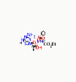 C#C[C@@]1(F)[C@H](O)[C@@H](CO[P@](=O)(N[C@H](C)C(=O)OCC)Oc2ccccc2)O[C@H]1n1cnc2c(N(C)C3CC3)nc(N)nc21